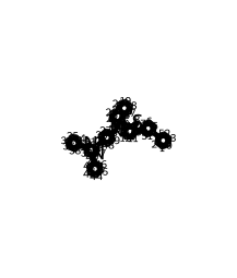 c1ccc(-c2ccc3sc4c(ccc5c4c4c6ccccc6ccc4n5-c4ccc(-c5nc(-c6ccccc6)cc(-c6ccccc6)n5)cc4)c3c2)cc1